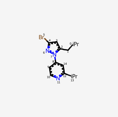 CC(C)Cc1cc(Br)nn1-c1ccnc(C(C)C)c1